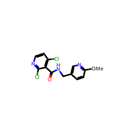 COc1ccc(CNC(=O)c2c(Cl)ccnc2Cl)cn1